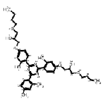 CCCCOCC(O)COc1ccc(-c2nc(-c3ccc(C)cc3C)nc(-c3ccc(OCC(O)COCCCC)cc3O)n2)c(O)c1